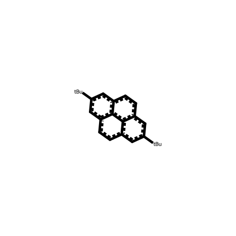 CC(C)(C)c1cc2ccc3cc(C(C)(C)C)cc4ccc(c1)c2c34